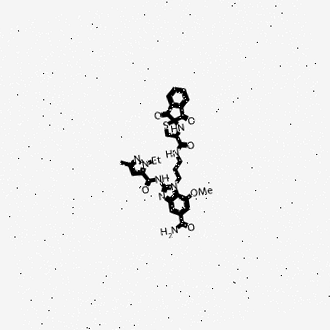 CCn1nc(C)cc1C(=O)Nc1nc2cc(C(N)=O)cc(OC)c2n1CCCNC(=O)C1CSC2(N1)C(=O)c1ccccc1C2=O